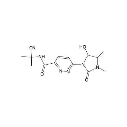 CC1C(O)N(c2ccc(C(=O)NC(C)(C)C#N)nn2)C(=O)N1C